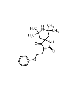 CC1(C)CC2(CC(C)(C)N1)NC(=O)N(CCOc1ccccc1)C2=O